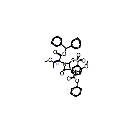 CO/C(C)=C(\C(=O)OC(c1ccccc1)c1ccccc1)N1C(=O)C(NC(=O)Oc2ccccc2)C1SS(=O)(=O)c1ccccc1OC